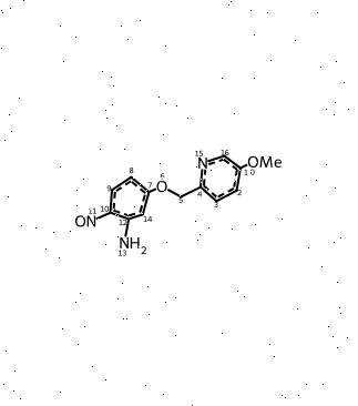 COc1ccc(COc2ccc(N=O)c(N)c2)nc1